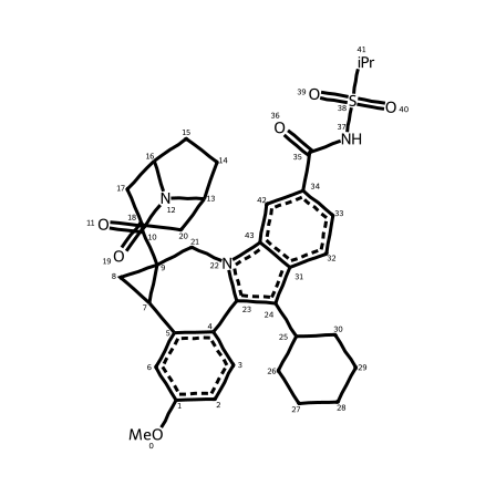 COc1ccc2c(c1)C1CC1(C(=O)N1C3CCC1CC(=O)C3)Cn1c-2c(C2CCCCC2)c2ccc(C(=O)NS(=O)(=O)C(C)C)cc21